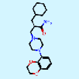 NC(=O)[C@H](CC1CCCCC1)CN1CCN(c2cccc3c2OCCO3)CC1